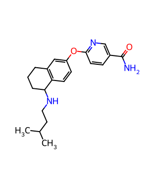 CC(C)CCNC1CCCc2cc(Oc3ccc(C(N)=O)cn3)ccc21